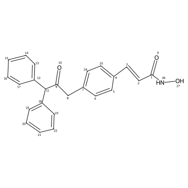 O=C(/C=C/c1ccc(CC(=O)C(c2ccccc2)c2ccccc2)cc1)NO